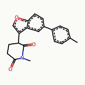 Cc1ccc(-c2ccc3occ(C4CCC(=O)N(C)C4=O)c3c2)cc1